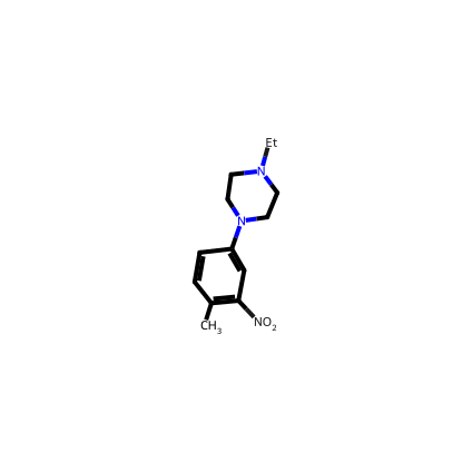 CCN1CCN(c2ccc(C)c([N+](=O)[O-])c2)CC1